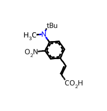 CN(c1ccc(/C=C/C(=O)O)cc1[N+](=O)[O-])C(C)(C)C